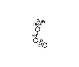 CC(C)S(=O)(=O)NC1CCC(CNc2cccc(S(=O)(=O)N3CCCCC3)c2)CC1